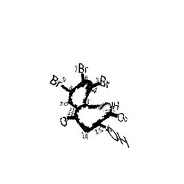 O=c1[nH]c2c(Br)c(Br)c(Br)cc2c(=O)cc1O